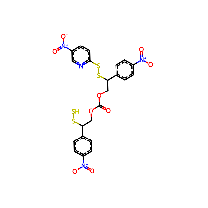 O=C(OCC(SS)c1ccc([N+](=O)[O-])cc1)OCC(SSc1ccc([N+](=O)[O-])cn1)c1ccc([N+](=O)[O-])cc1